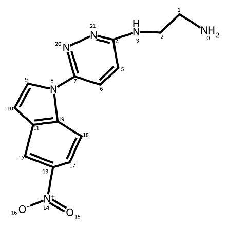 NCCNc1ccc(-n2ccc3cc([N+](=O)[O-])ccc32)nn1